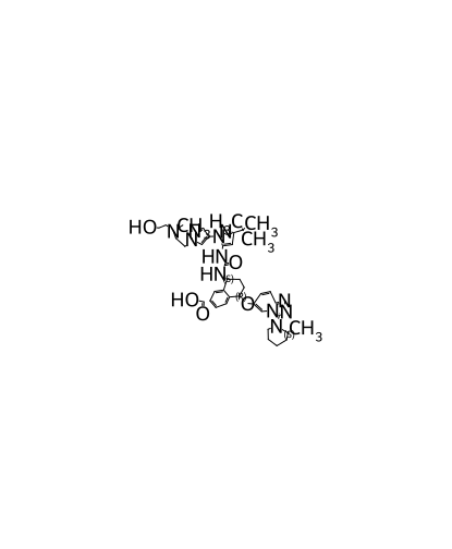 C[C@H]1CCCCN1c1nnc2ccc(O[C@@H]3CC[C@H](NC(=O)Nc4cc(C(C)(C)C)nn4-c4cnn(CCN(C)CCO)c4)c4ccccc43)cn12.O=CO